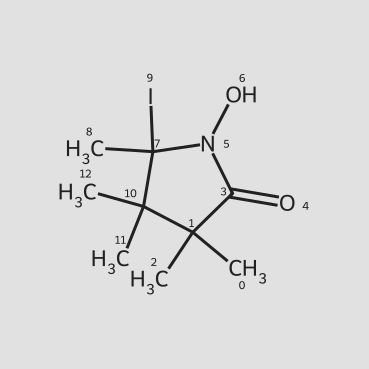 CC1(C)C(=O)N(O)C(C)(I)C1(C)C